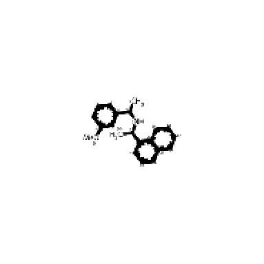 COc1cccc(C(C)NC(C)c2cccc3ccccc23)c1